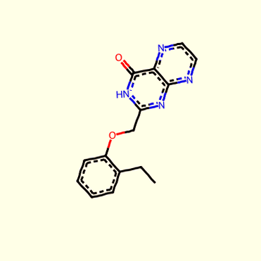 CCc1ccccc1OCc1nc2nccnc2c(=O)[nH]1